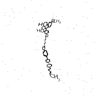 CCCCC[C@H]1CC[C@H](c2ccc(-c3ccc(OCCCCCCOc4ccc(C(=O)c5ccc(OC)cc5O)c(O)c4)cc3)cc2)CC1